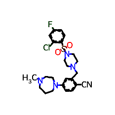 CN1CCCN(c2ccc(C#N)c(CN3CCN(S(=O)(=O)c4ccc(F)cc4Cl)CC3)c2)CC1